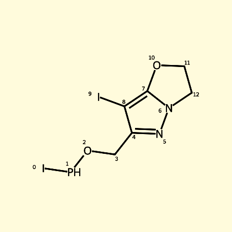 IPOCc1nn2c(c1I)OCC2